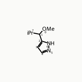 COC(c1c[c]n[nH]1)C(C)C